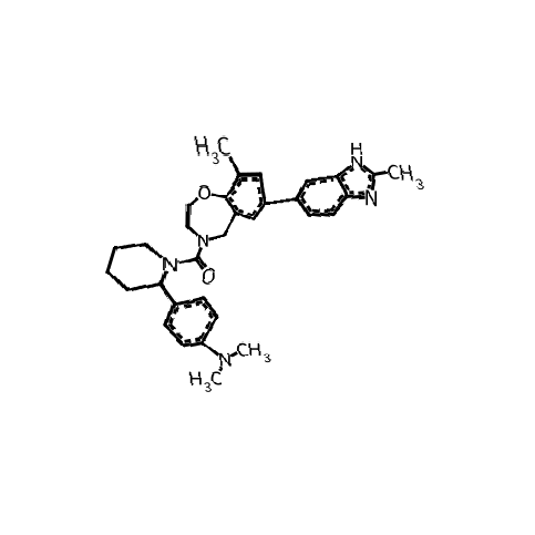 Cc1nc2ccc(-c3cc(C)c4c(c3)CN(C(=O)N3CCCCC3c3ccc(N(C)C)cc3)CCO4)cc2[nH]1